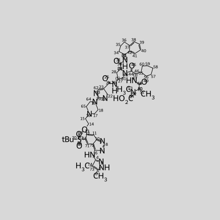 Cc1[nH]nc(Nc2ncnc3cc(OCCN4CCN(c5ncc(C(=O)N[C@H]6C[C@@H](C(=O)N[C@@H]7CCCc8ccccc87)N(C(=O)[C@@H](NC(=O)[C@H](C)N(C)C(=O)O)C7CCCCC7)C6)cn5)CC4)c(S(=O)(=O)C(C)(C)C)cc23)c1C